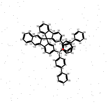 c1ccc(-c2ccc(N(c3ccc(-c4ccccc4)cc3)c3ccc4c(c3)C3(c5ccccc5-c5ccc(-c6ccccc6)cc53)c3cc5ccccc5cc3-4)cc2)cc1